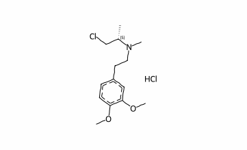 COc1ccc(CCN(C)[C@@H](C)CCl)cc1OC.Cl